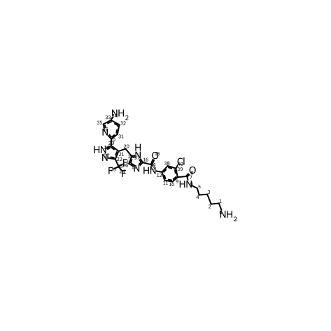 NCCCCCNC(=O)c1ccc(NC(=O)c2ncc(Cc3c(C(F)(F)F)n[nH]c3-c3ccc(N)cn3)[nH]2)cc1Cl